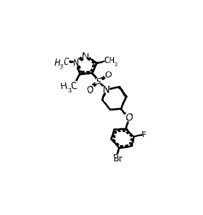 Cc1nn(C)c(C)c1S(=O)(=O)N1CCC(Oc2ccc(Br)cc2F)CC1